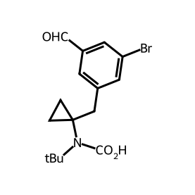 CC(C)(C)N(C(=O)O)C1(Cc2cc(Br)cc(C=O)c2)CC1